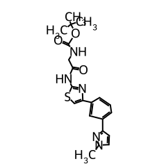 Cn1ccc(-c2cccc(-c3csc(NC(=O)CNC(=O)OC(C)(C)C)n3)c2)n1